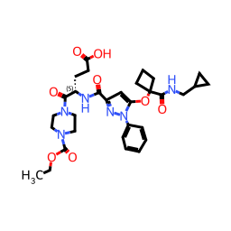 CCOC(=O)N1CCN(C(=O)[C@H](CCC(=O)O)NC(=O)c2cc(OC3(C(=O)NCC4CC4)CCC3)n(-c3ccccc3)n2)CC1